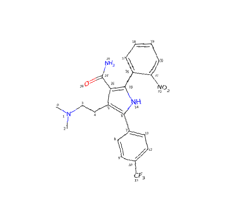 CN(C)CCc1c(-c2ccc(C(F)(F)F)cc2)[nH]c(-c2ccccc2[N+](=O)[O-])c1C(N)=O